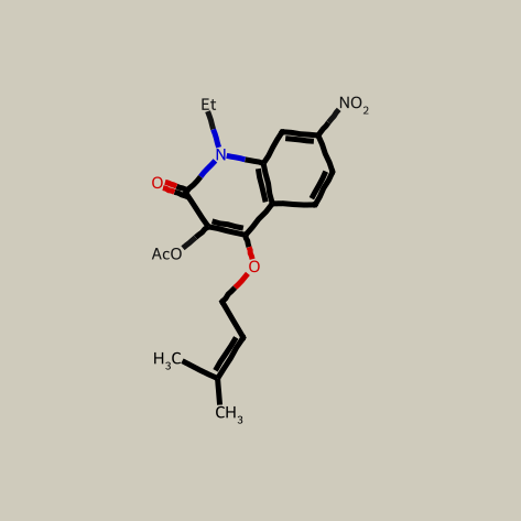 CCn1c(=O)c(OC(C)=O)c(OCC=C(C)C)c2ccc([N+](=O)[O-])cc21